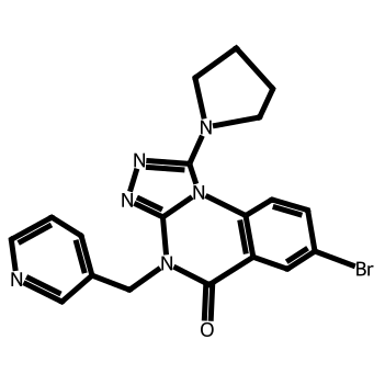 O=c1c2cc(Br)ccc2n2c(N3CCCC3)nnc2n1Cc1cccnc1